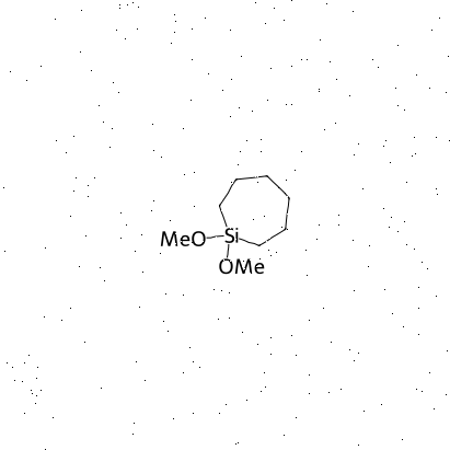 CO[Si]1(OC)CCCCCC1